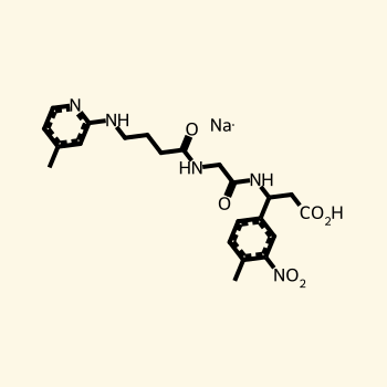 Cc1ccnc(NCCCC(=O)NCC(=O)NC(CC(=O)O)c2ccc(C)c([N+](=O)[O-])c2)c1.[Na]